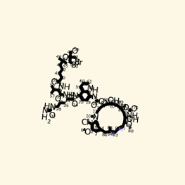 COc1cc2cc(c1Cl)N(C)CC[C@H](OC(=O)Nc1ccc(NC(=O)[C@H](CCCNC(N)=O)NC(=O)[C@@H](NC(=O)CCCCC(C)(C)OC(C=O)(CBr)CBr)C(C)C)c3cccnc13)[C@]1(C)O[C@H]1[C@H](C)[C@@H]1C[C@@](O)(NC(=O)O1)[C@H](OC)/C=C/C=C(\C)C2